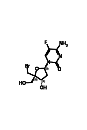 Nc1nc(=O)n([C@H]2C[C@H](O)[C@](CO)(CBr)O2)cc1F